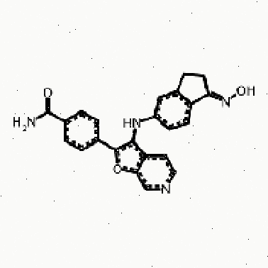 NC(=O)c1ccc(-c2oc3cnccc3c2Nc2ccc3c(c2)CC/C3=N\O)cc1